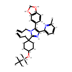 C=CCn1c(C2(CC=C)CCC(O[Si](C)(C)C(C)(C)C)CC2)nc(-c2cccc(C)n2)c1-c1ccc2c(c1)OCO2